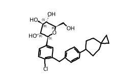 OC[C@H]1O[C@@H](c2ccc(Cl)c(Cc3ccc(C4CCC5(CC4)CC5)cc3)c2)[C@H](O)[C@@H](O)[C@@H]1O